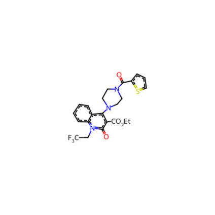 CCOC(=O)c1c(N2CCN(C(=O)c3cccs3)CC2)c2ccccc2n(CC(F)(F)F)c1=O